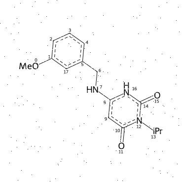 COc1cccc(CNc2cc(=O)n(C(C)C)c(=O)[nH]2)c1